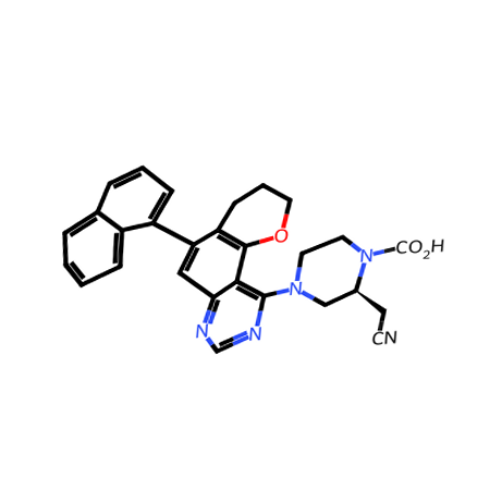 N#CC[C@H]1CN(c2ncnc3cc(-c4cccc5ccccc45)c4c(c23)OCCC4)CCN1C(=O)O